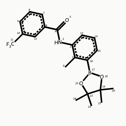 Cc1c(NC(=O)c2cccc(C(F)(F)F)c2)cccc1B1OC(C)(C)C(C)(C)O1